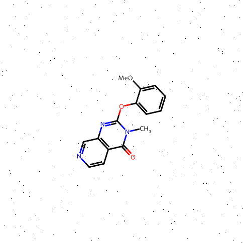 COc1ccccc1Oc1nc2cnccc2c(=O)n1C